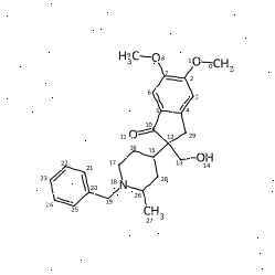 COc1cc2c(cc1OC)C(=O)C(CO)(C1CCN(Cc3ccccc3)C(C)C1)C2